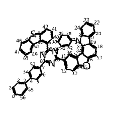 c1ccc(-c2ccc(-c3nc(-c4ccc5oc6ccc7c8ccccc8n(-c8ccccc8)c7c6c5c4)nc(-c4cccc5sc6ccccc6c45)n3)cc2)cc1